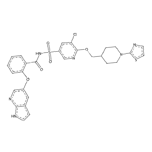 O=C(NS(=O)(=O)c1cnc(OCC2CCN(c3nccs3)CC2)c(Cl)c1)c1ccccc1Oc1cnc2[nH]ccc2c1